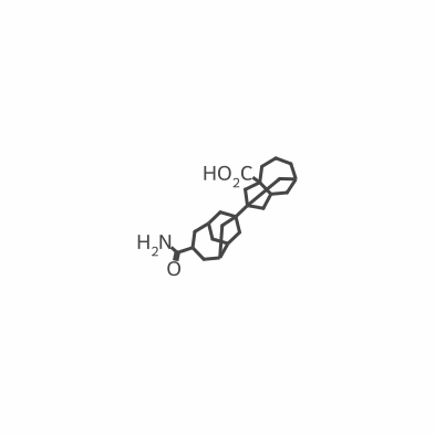 NC(=O)C1CC2CC3CC(C45CC6CCCC(C(=O)O)(C4)C(C6)C5)(C2)CC3C1